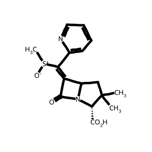 C[S+]([O-])/C(=C1\C(=O)N2C1CC(C)(C)[C@@H]2C(=O)O)c1ccccn1